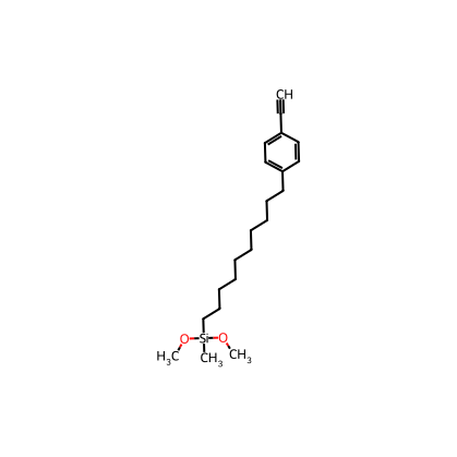 C#Cc1ccc(CCCCCCCCCC[Si](C)(OC)OC)cc1